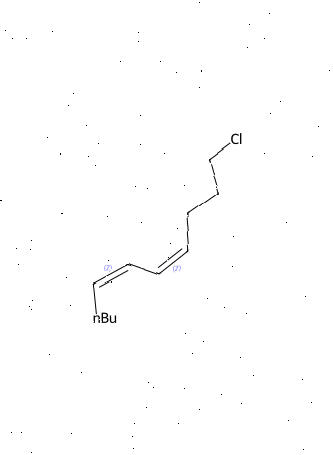 CCCC/C=C\C=C/CCCCl